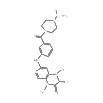 CC(C)N1c2cc(Nc3cccc(C(=O)N4CCN([S@@+](C)[O-])CC4)c3)ncc2N(C)C(=O)C1C